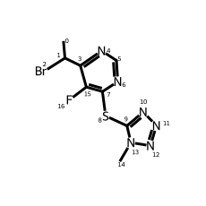 CC(Br)c1ncnc(Sc2nnnn2C)c1F